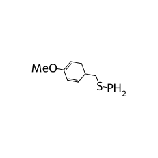 COC1=CCC(CSP)C=C1